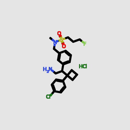 CN(Cc1cccc(C(CN)C2(c3ccc(Cl)cc3)CCC2)c1)S(=O)(=O)CCCF.Cl